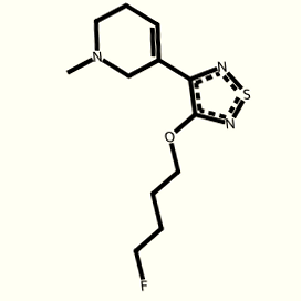 CN1CCC=C(c2nsnc2OCCCCF)C1